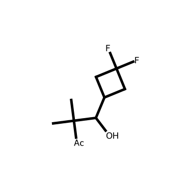 CC(=O)C(C)(C)C(O)C1CC(F)(F)C1